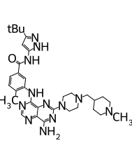 Cc1ccc(C(=O)Nc2cc(C(C)(C)C)n[nH]2)cc1Nc1ncnc2c(N)nc(N3CCN(CC4CCN(C)CC4)CC3)nc12